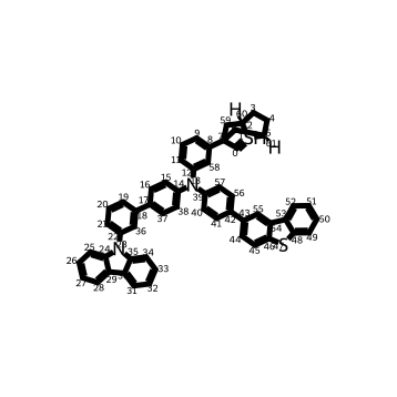 C1#[SH]2[C@H]3CC[C@H]2CC1(c1cccc(N(c2ccc(-c4cccc(-n5c6ccccc6c6ccccc65)c4)cc2)c2ccc(-c4ccc5sc6ccccc6c5c4)cc2)c1)C3